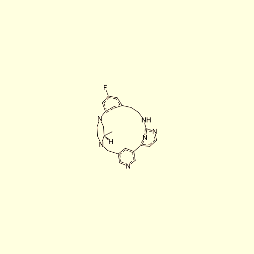 C[C@H]1CN2CCN1Cc1cncc(c1)-c1ccnc(n1)NCCc1cc(F)cc2c1